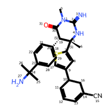 CN1C(=N)N[C@](C)(c2cc(C3C=CC=C(C#N)C3)cs2)[C@H](c2ccc(C(C)(C)N)cc2)C1=O